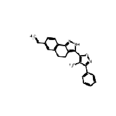 C=Cc1ccc2c(c1)CCc1c-2n[nH]c1-c1onc(-c2ccccc2)c1C(F)(F)F